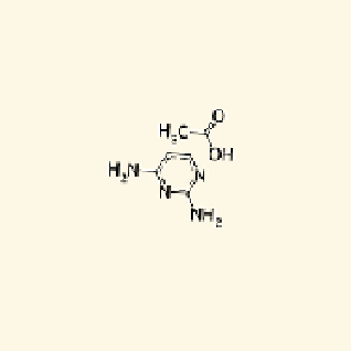 CC(=O)O.Nc1ccnc(N)n1